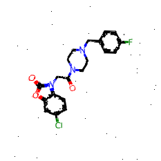 O=C(Cn1c(=O)oc2cc(Cl)ccc21)N1CCN(Cc2ccc(F)cc2)CC1